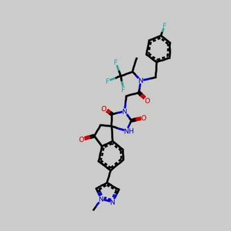 CC(N(Cc1ccc(F)cc1)C(=O)CN1C(=O)NC2(CC(=O)c3cc(-c4cnn(C)c4)ccc32)C1=O)C(F)(F)F